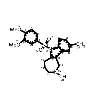 COc1ccc(S(=O)(=O)n2c3c(c4cc(C)ccc42)CN(C)CCC3)cc1OC